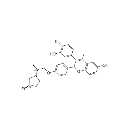 CC[C@@H]1CCN([C@@H](C)COc2ccc(C3Oc4ccc(O)cc4C(C)=C3c3ccc(Cl)c(O)c3)cc2)C1